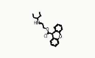 CCC(CC)NCCOC(=O)C1c2ccccc2Oc2ccccc21